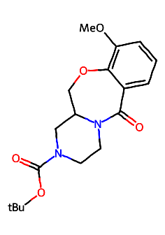 COc1cccc2c1OCC1CN(C(=O)OC(C)(C)C)CCN1C2=O